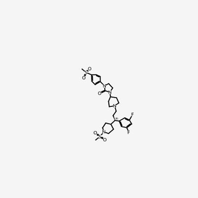 CS(=O)(=O)c1ccc(N2CCN(C3CCN(CC[C@@H](c4cc(F)cc(F)c4)C4CCN(S(C)(=O)=O)CC4)CC3)C2=O)cc1